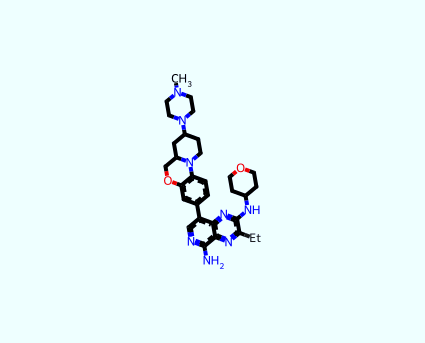 CCc1nc2c(N)ncc(-c3ccc4c(c3)OCC3CC(N5CCN(C)CC5)CCN43)c2nc1NC1CCOCC1